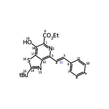 CCOC(=O)c1nc(/C=C/c2ccccc2)c2nc(C(C)(C)C)sc2c1O